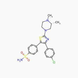 C[C@@H]1CN(c2nc(-c3ccc(Cl)cc3)c(-c3ccc(S(N)(=O)=O)cc3)s2)CCN1C